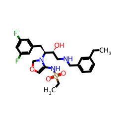 CCc1cccc(CNC[C@@H](O)[C@H](Cc2cc(F)cc(F)c2)N2COC=C2NS(=O)(=O)CC)c1